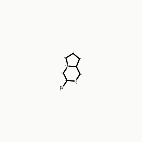 CCC1CN2CCCC2CO1